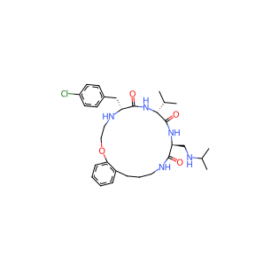 CC(C)NC[C@@H]1NC(=O)[C@@H](C(C)C)NC(=O)[C@@H](Cc2ccc(Cl)cc2)NCCOc2ccccc2CCCNC1=O